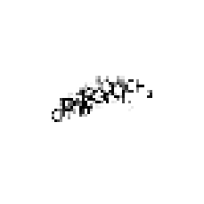 CC1CCC2(C)C(CCC3C2CCC2(C)C(C(=O)c4cccc(Cl)c4)CCC32)C1